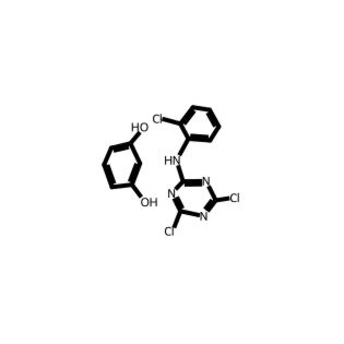 Clc1nc(Cl)nc(Nc2ccccc2Cl)n1.Oc1cccc(O)c1